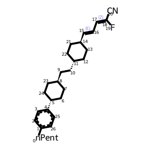 CCCCCc1ccc([C@H]2CC[C@H](CC[C@H]3CC[C@H](/C=C/C=C(\F)C#N)CC3)CC2)cc1